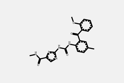 CNC(=O)c1cnc(NC(=O)Nc2ccc(C)cc2C(=O)c2ccccc2OC)s1